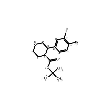 CC(C)(C)OC(=O)N1CCOCC1c1ccc(Br)c(F)c1